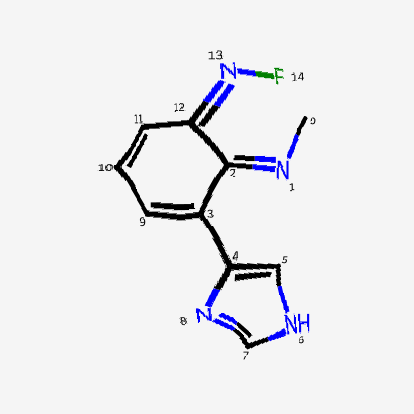 C/N=C1/C(c2c[nH]cn2)=CC=C/C1=N/F